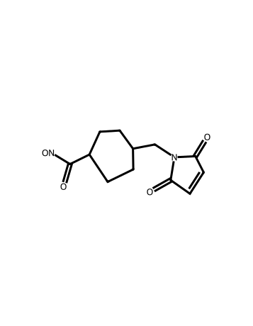 O=NC(=O)C1CCC(CN2C(=O)C=CC2=O)CC1